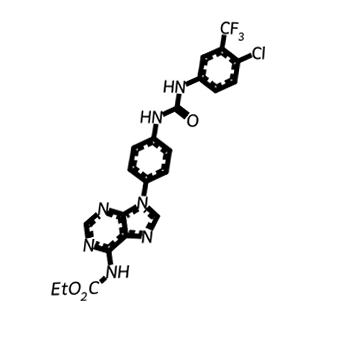 CCOC(=O)Nc1ncnc2c1ncn2-c1ccc(NC(=O)Nc2ccc(Cl)c(C(F)(F)F)c2)cc1